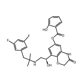 CC(C)(Cc1cc(F)cc(F)c1)NC[C@H](O)c1cc(OC(=O)c2ccccc2O)cc2c1OCC(=O)N2